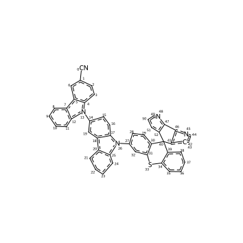 N#Cc1ccc2c(c1)c1ccccc1n2-c1ccc2c(c1)c1ccccc1n2-c1ccc2c(c1)Sc1ccccc1C21c2cccnc2-c2ncccc21